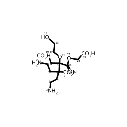 NCCC(CCN)(C(=O)O)C(CC(=O)O)(OCCO)C(=O)OCC(=O)O